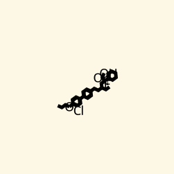 CCCOc1ccc(-c2ccc(CCC(CC)C[C@@](F)(C(=O)O)C3CCCCC3)cc2)cc1Cl